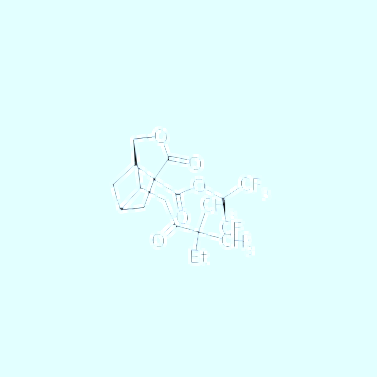 CCC(C)(C)C(=O)CC1C2CC3C1OC(=O)C3(C(=O)OC(C(F)(F)F)C(F)(F)F)C2